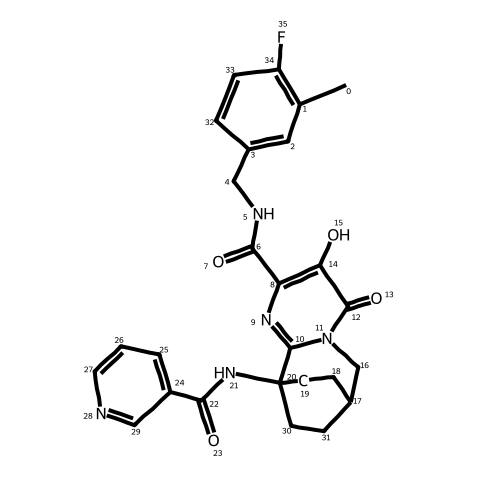 Cc1cc(CNC(=O)c2nc3n(c(=O)c2O)CC2CCC3(NC(=O)c3cccnc3)CC2)ccc1F